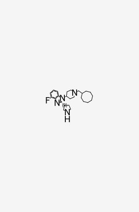 Fc1cccc2c1nc([C@@H]1CCNC1)n2C1CCN(CC2CCCCCCC2)CC1